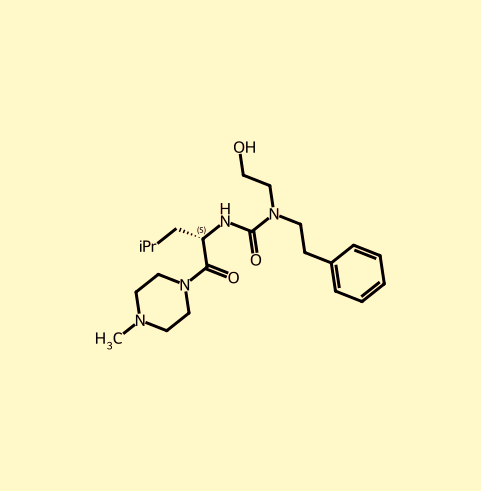 CC(C)C[C@H](NC(=O)N(CCO)CCc1ccccc1)C(=O)N1CCN(C)CC1